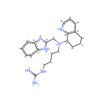 N=C(N)NCCCCN(Cc1nc2ccccc2[nH]1)C1CCCc2cccnc21